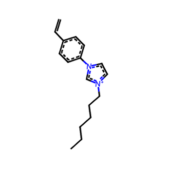 C=Cc1ccc(-n2cc[n+](CCCCCC)c2)cc1